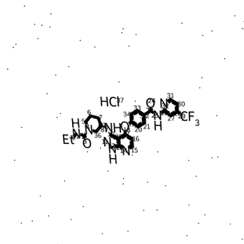 CCNC(=O)N1CCC[C@@H](Nc2n[nH]c3nccc(Oc4ccc(C(=O)Nc5cc(C(F)(F)F)ccn5)cc4)c23)C1.Cl